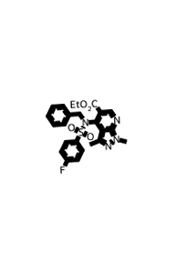 CCOC(=O)c1cnc2c(c(C)nn2C)c1N(Cc1ccccc1)S(=O)(=O)c1ccc(F)cc1